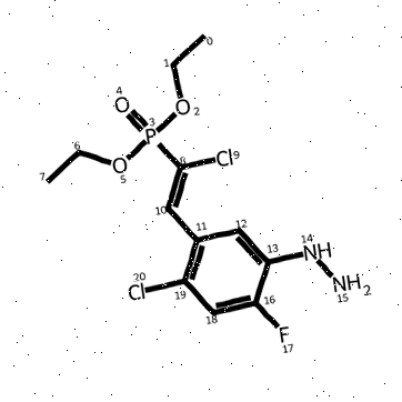 CCOP(=O)(OCC)C(Cl)=Cc1cc(NN)c(F)cc1Cl